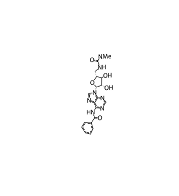 CNC(=O)NC[C@H]1O[C@@H](n2cnc3c(NC(=O)c4ccccc4)ncnc32)[C@@H](O)C1O